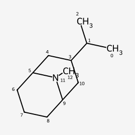 CC(C)C1CC2CCCC(C1)N2C